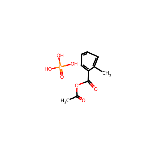 CC(=O)OC(=O)c1ccccc1C.O=P(O)(O)O